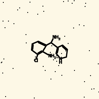 Nc1c(Cl)cccc1C(N)C1=CNCC=C1